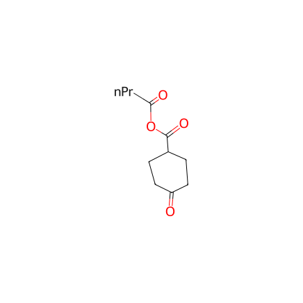 CCCC(=O)OC(=O)C1CCC(=O)CC1